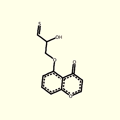 O=c1ccoc2cccc(OCC(O)C=S)c12